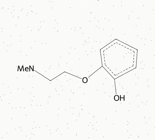 CNCCOc1ccccc1O